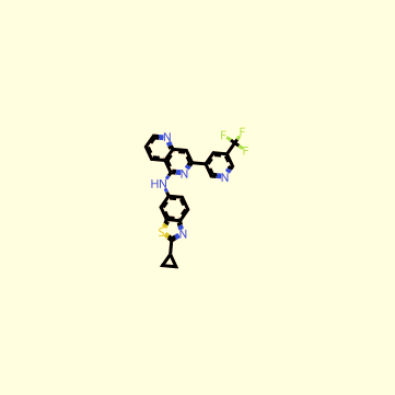 FC(F)(F)c1cncc(-c2cc3ncccc3c(Nc3ccc4nc(C5CC5)sc4c3)n2)c1